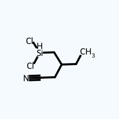 CCC(CC#N)C[SiH](Cl)Cl